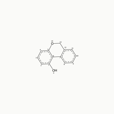 Oc1cccc2c1-c1ccccc1CO2